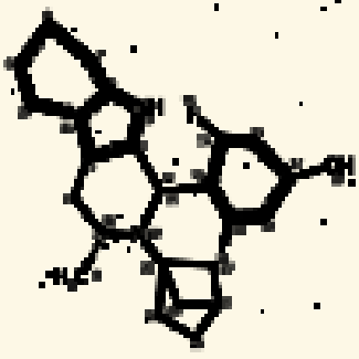 C[C@@H]1Cc2c([nH]c3ccccc23)[C@@H](c2c(F)cc(O)cc2F)N1C12CCC(C1)C2